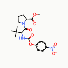 COC(=O)[C@@H]1CCCN1C(=O)[C@@H](NC(=O)Oc1ccc([N+](=O)[O-])cc1)C(C)(C)C